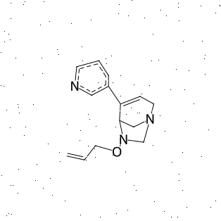 C=CCON1CN2CC=C(c3cccnc3)C1C2